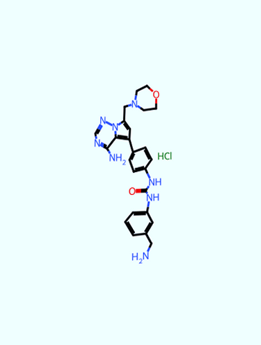 Cl.NCc1cccc(NC(=O)Nc2ccc(-c3cc(CN4CCOCC4)n4ncnc(N)c34)cc2)c1